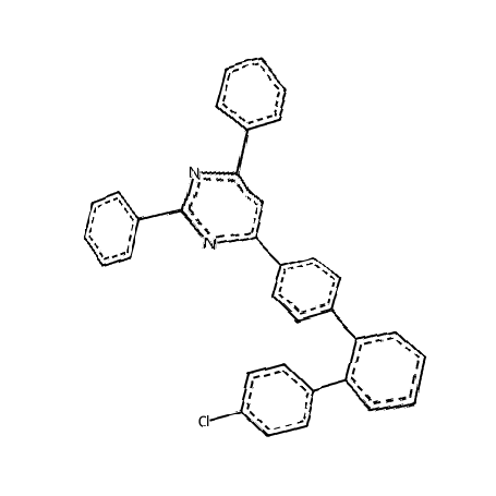 Clc1ccc(-c2ccccc2-c2ccc(-c3cc(-c4ccccc4)nc(-c4ccccc4)n3)cc2)cc1